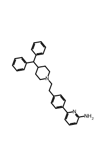 Nc1cccc(-c2ccc(CCN3CCC(C(c4ccccc4)c4ccccc4)CC3)cc2)n1